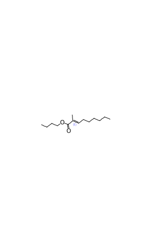 CCCCCC/C=C(\C)C(=O)OCCCC